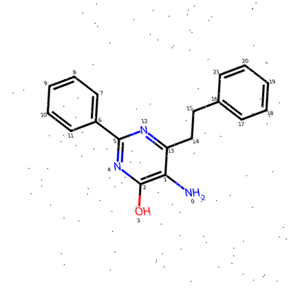 Nc1c(O)nc(-c2ccccc2)nc1CCc1ccccc1